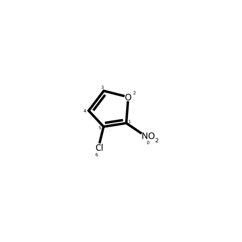 O=[N+]([O-])c1occc1Cl